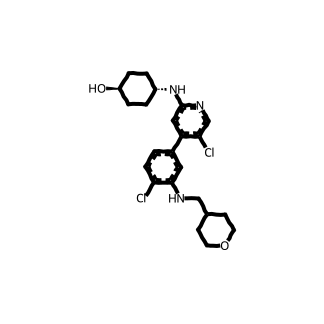 O[C@H]1CC[C@H](Nc2cc(-c3ccc(Cl)c(NCC4CCOCC4)c3)c(Cl)cn2)CC1